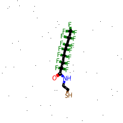 O=C(NCCS)C(F)(F)C(F)(F)C(F)(F)C(F)(F)C(F)(F)C(F)(F)C(F)(F)F